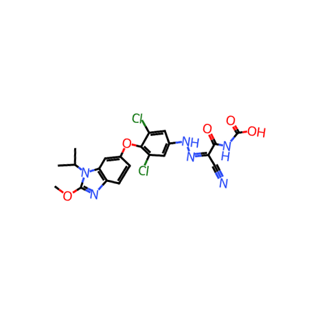 COc1nc2ccc(Oc3c(Cl)cc(NN=C(C#N)C(=O)NC(=O)O)cc3Cl)cc2n1C(C)C